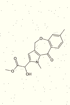 COC(=O)C(O)c1cc2c(n1C)C(=O)c1ccc(C)cc1OC2